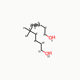 CCCC(C)CCO.CCCCC(C)(C)CCCCO